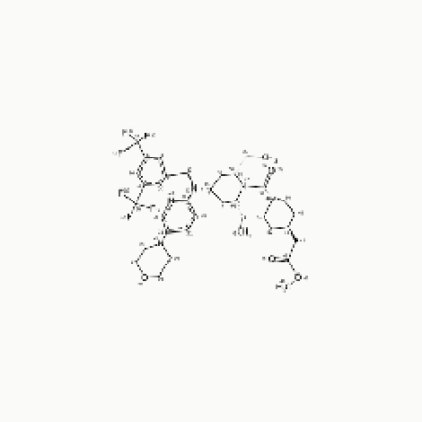 CC[C@@H]1C[C@H](N(Cc2cc(C(F)(F)F)cc(C(F)(F)F)c2)c2ncc(N3CCOCC3)cn2)C[C@H](CC)N1C(=O)[C@H]1CC[C@H](CC(=O)OC)CC1